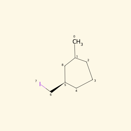 CC1CCC[C@@H](CI)C1